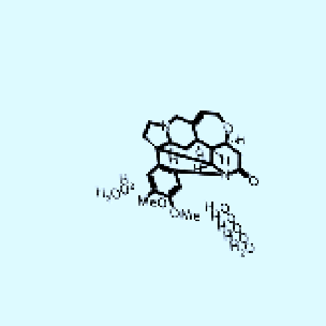 COc1cc2c(cc1OC)[C@@]13CCN4CC5=CCO[C@H]6CC(=O)N2[C@H]1[C@H]6[C@H]5C[C@H]43.O.O.O.O.O.O.O